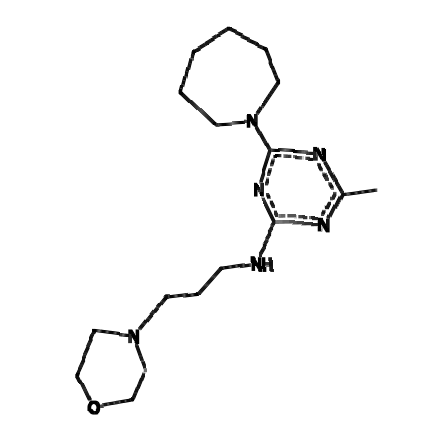 Cc1nc(NCCCN2CCOCC2)nc(N2CCCCCC2)n1